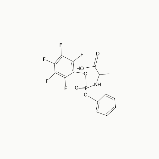 CC(NP(=O)(Oc1ccccc1)Oc1c(F)c(F)c(F)c(F)c1F)C(=O)O